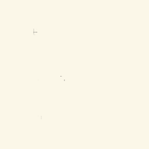 Brc1ccc2c(c1)c1ccc(Br)cc1n2-c1ccc2ccccc2c1